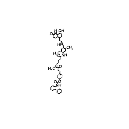 Cc1cc(NC(=O)CCCCN(C)C(=O)CCN2CCC(OC(=O)Nc3ccccc3-c3ccccc3)CC2)c(C)cc1CNCCc1ccc(O)c2[nH]c(=O)ccc12